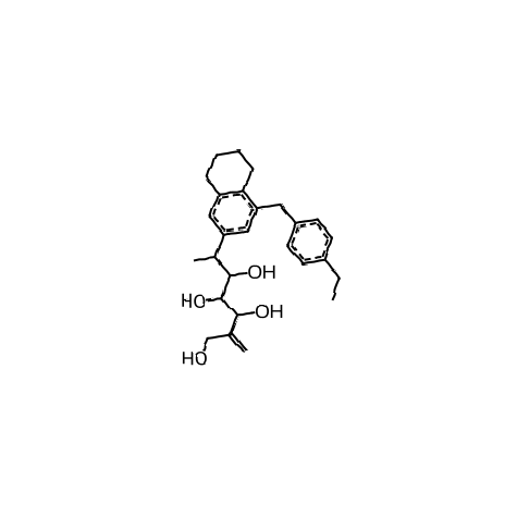 C=C(CO)C(O)C(O)C(O)C(C)c1cc2c(c(Cc3ccc(CC)cc3)c1)CCCC2